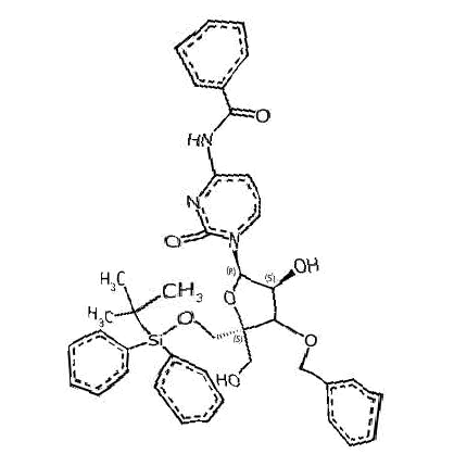 CC(C)(C)[Si](OC[C@]1(CO)O[C@@H](n2ccc(NC(=O)c3ccccc3)nc2=O)[C@@H](O)C1OCc1ccccc1)(c1ccccc1)c1ccccc1